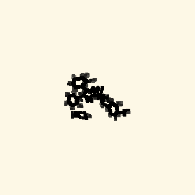 Cl.Fc1ccc(CNC2=NC(c3ccccc3)C(c3ccccc3)N2)cc1